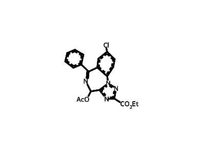 CCOC(=O)c1nc2n(n1)-c1ccc(Cl)cc1C(c1ccccc1)=NC2OC(C)=O